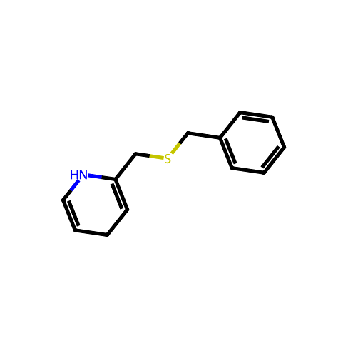 C1=CNC(CSCc2ccccc2)=CC1